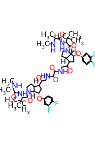 CN[C@@H](C)C(=O)N[C@H](C(=O)N1CC[C@H]2C(C(=O)CNC(=O)C(=O)NCC(=O)C3C[C@H](Oc4ccc(F)c(F)c4)[C@@H]4[C@H]3CCN4C(=O)[C@@H](NC(=O)[C@H](C)NC)C(C)(C)C)C[C@H](Oc3ccc(F)c(F)c3)[C@H]21)C(C)(C)C